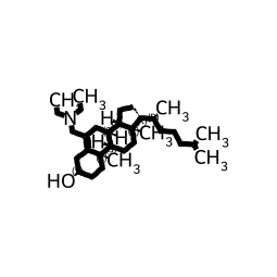 CCN(CC)CC1=C2C[C@@H](O)CC[C@]2(C)[C@H]2CC[C@]3(C)[C@@H]([C@H](C)CCCC(C)C)CC[C@H]3[C@@H]2C1